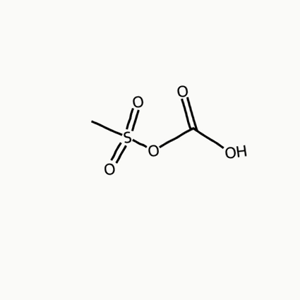 CS(=O)(=O)OC(=O)O